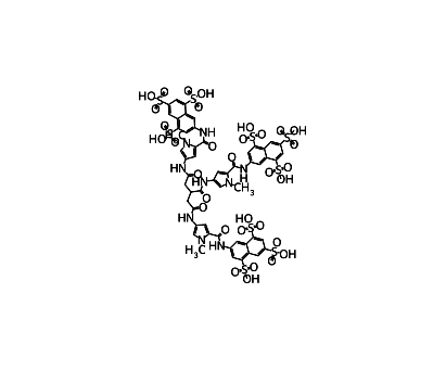 Cn1cc(NC(=O)CC(CC(=O)Nc2cc(C(=O)Nc3cc(S(=O)(=O)O)c4cc(S(=O)(=O)O)cc(S(=O)(=O)O)c4c3)n(C)c2)C(=O)Nc2cc(C(=O)Nc3cc(S(=O)(=O)O)c4cc(S(=O)(=O)O)cc(S(=O)(=O)O)c4c3)n(C)c2)cc1C(=O)Nc1cc(S(=O)(=O)O)c2cc(S(=O)(=O)O)cc(S(=O)(=O)O)c2c1